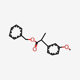 COc1cccc(C(C)C(=O)OCc2ccccc2)c1